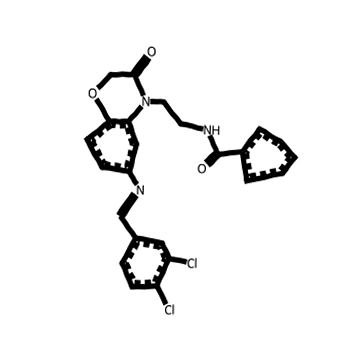 O=C(NCCN1C(=O)COc2ccc(N=Cc3ccc(Cl)c(Cl)c3)cc21)c1ccccc1